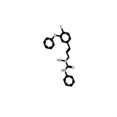 O=C(Nc1ccccc1)N(O)C/C=C/c1ccc(F)c(Oc2ccccc2)c1